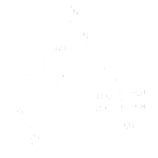 CC(C)(C)[Si](C)(C)OCCCn1ccnc1CNCc1ccc(CC(=O)O)cc1